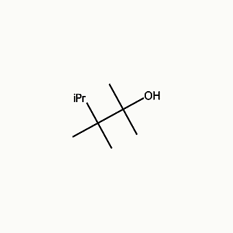 CC(C)C(C)(C)C(C)(C)O